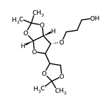 CC1(C)OCC(C2O[C@@H]3OC(C)(C)O[C@@H]3[C@@H]2OCCCO)O1